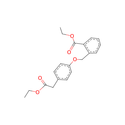 CCOC(=O)Cc1ccc(OCc2ccccc2C(=O)OCC)cc1